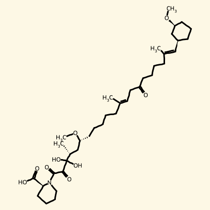 CO[C@H](CCCCC/C(C)=C/CC(=O)CCCC/C(C)=C/[C@@H]1CCC[C@H](OC)C1)C[C@@H](C)C(O)(O)C(=O)C(=O)N1CCCC[C@H]1C(=O)O